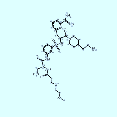 COCCOCCC(=O)N[C@@H](CN)C(=O)Nc1cccc(S(=O)(=O)N[C@@H](Cc2cccc(C(=N)N)c2)C(=O)N2CCC(CCN)CC2)c1